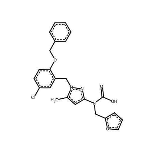 Cc1cc(N(Cc2ccco2)C(=O)O)nn1Cc1cc(Cl)ccc1OCc1ccccc1